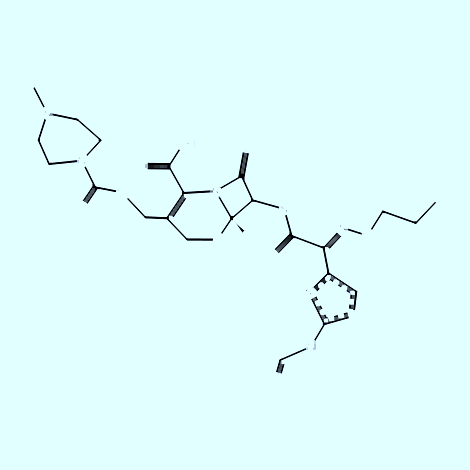 CCCON=C(C(=O)NC1C(=O)N2C(C(=O)O)=C(COC(=O)N3CCN(C)CC3)CS[C@@H]12)c1csc(NC=O)n1